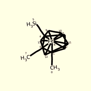 C[C]12[CH]3[CH]4[C]5([SiH3])[C]1(C)[Fe]34251678[CH]2[CH]1[CH]6[CH]7[CH]28